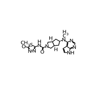 COc1nnc(NC(=O)N2C[C@H]3C[C@@H](N(C)c4ncnc5[nH]ccc45)C[C@H]3C2)s1